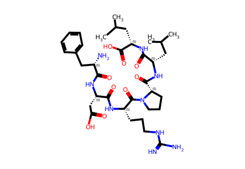 CC(C)C[C@H](NC(=O)[C@H](CC(C)C)NC(=O)[C@@H]1CCCN1C(=O)[C@H](CCCNC(=N)N)NC(=O)[C@H](CC(=O)O)NC(=O)[C@@H](N)Cc1ccccc1)C(=O)O